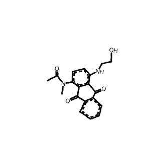 CC(=O)N(C)c1ccc(NCCO)c2c1C(=O)c1ccccc1C2=O